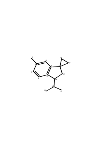 Cc1ccc2c(c1)C1(CC1)CC2C(C)C